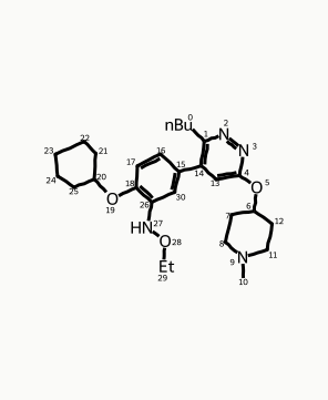 CCCCc1nnc(OC2CCN(C)CC2)cc1-c1ccc(OC2CCCCC2)c(NOCC)c1